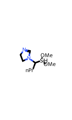 CCCC(N1C=NCC1)[SiH](OC)OC